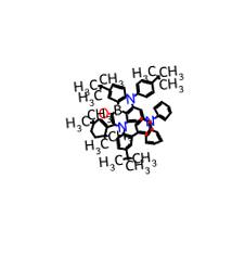 CC(C)(C)c1ccc(N2c3ccc(C(C)(C)C)cc3B3c4oc5c(c4N(c4ccc(C(C)(C)C)cc4-c4ccccc4)c4cc(N(c6ccccc6)c6ccccc6)cc2c43)C(C)(C)CCC5(C)C)cc1